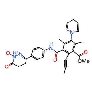 CC#Cc1c(C(=O)Nc2ccc(C3=N[NH+]([O-])C(=O)CC3)cc2)c(C)c(N2C=CCC=C2)c(C)c1C(=O)OC